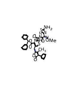 CO/N=C(\C(=O)N[C@@H]1C(=O)N2C(C(=O)OC(c3ccccc3)c3ccccc3)=C(/C=C3/OC(=O)C(c4ccccc4)=C3C)CS[C@@H]12)c1csc(N)n1